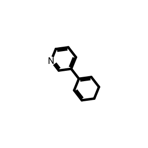 C1=CC(c2cccnc2)=CCC1